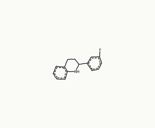 Fc1cccc(C2CCc3ccccc3N2)c1